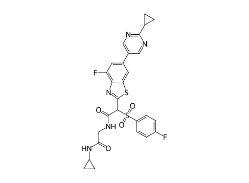 O=C(CNC(=O)C(c1nc2c(F)cc(-c3cnc(C4CC4)nc3)cc2s1)S(=O)(=O)c1ccc(F)cc1)NC1CC1